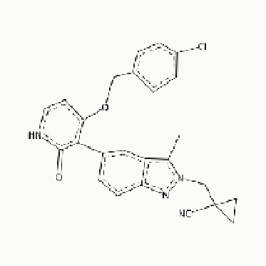 Cc1c2cc(-c3c(OCc4ccc(Cl)cc4)cc[nH]c3=O)ccc2nn1CC1(C#N)CC1